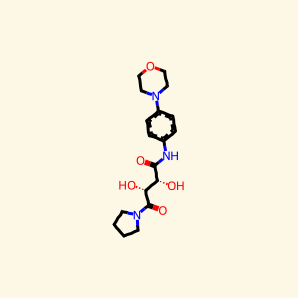 O=C(Nc1ccc(N2CCOCC2)cc1)[C@H](O)[C@@H](O)C(=O)N1CCCC1